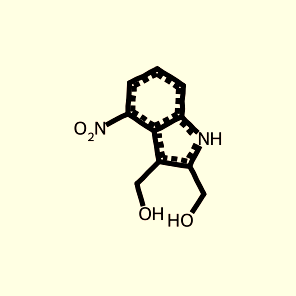 O=[N+]([O-])c1cccc2[nH]c(CO)c(CO)c12